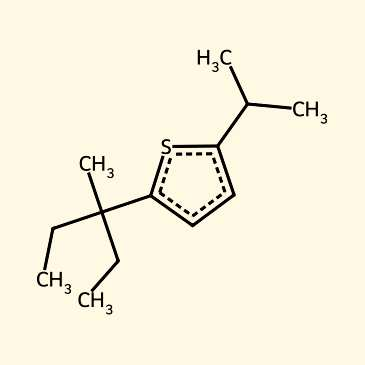 CCC(C)(CC)c1ccc(C(C)C)s1